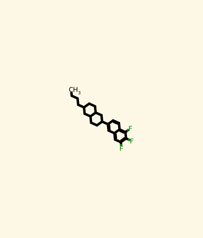 CCCCC1CCC2CC(c3ccc4c(F)c(F)c(F)cc4c3)CCC2C1